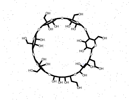 OCCC1OC2OC(CO)C(OC3OC(CO)C(OC4OC(CO)C(OC5OC(CO)C(OC6OC(CO)C(OC(O)C(O)C(O)C(CCO)OC(O)/C(O)=C/1O)C(O)C6O)C(O)C5O)C(O)C4O)C(O)C3O)C(O)C2O